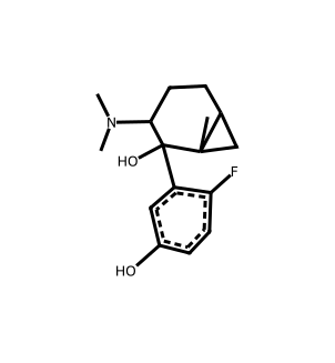 CN(C)C1CCC2CC2(C)C1(O)c1cc(O)ccc1F